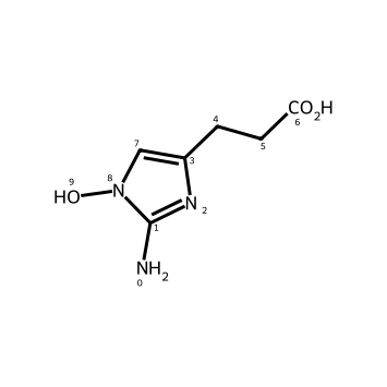 Nc1nc(CCC(=O)O)cn1O